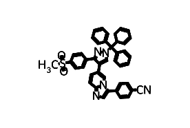 CS(=O)(=O)c1ccc(-c2nn(C(c3ccccc3)(c3ccccc3)C3C=CC=CC3)cc2-c2ccc3ncc(-c4ccc(C#N)cc4)n3c2)cc1